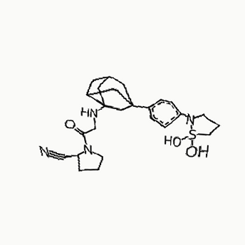 N#C[C@@H]1CCCN1C(=O)CNC12CC3CC1CC(c1ccc(N4CCCS4(O)O)cc1)(C3)C2